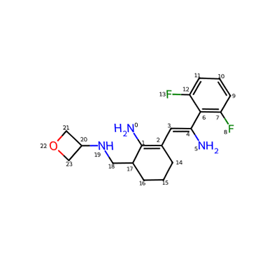 NC1=C(/C=C(\N)c2c(F)cccc2F)CCCC1CNC1COC1